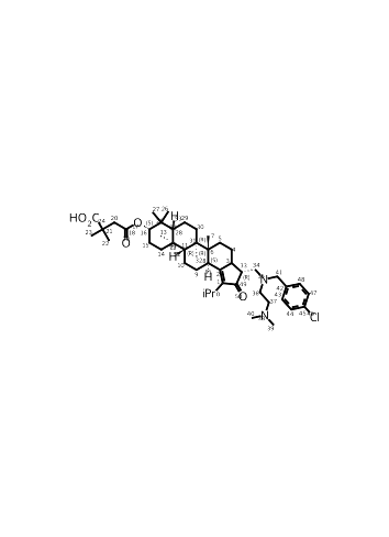 CC(C)C1=C2C(CC[C@]3(C)[C@@H]2CC[C@@H]2[C@@]4(C)CC[C@H](OC(=O)CC(C)(C)C(=O)O)C(C)(C)[C@@H]4CC[C@]23C)[C@H](CN(CCN(C)C)Cc2ccc(Cl)cc2)C1=O